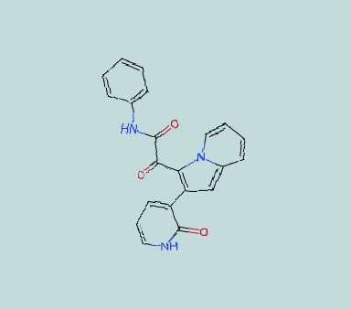 O=C(Nc1ccccc1)C(=O)c1c(-c2ccc[nH]c2=O)cc2ccccn12